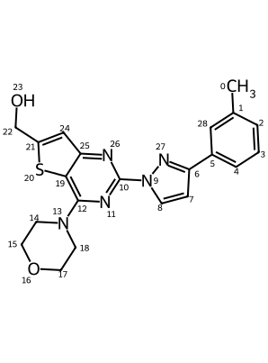 Cc1cccc(-c2ccn(-c3nc(N4CCOCC4)c4sc(CO)cc4n3)n2)c1